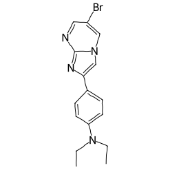 CCN(CC)c1ccc(-c2cn3cc(Br)cnc3n2)cc1